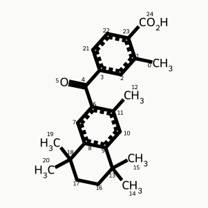 Cc1cc(C(=O)c2cc3c(cc2C)C(C)(C)CCC3(C)C)ccc1C(=O)O